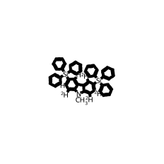 [2H]c1c([Si](c2ccccc2)(c2ccccc2)c2ccccc2)c([2H])c2c3c([2H])c([Si](c4ccccc4)(c4ccccc4)c4ccccc4)c([2H])c([2H])c3n(C)c2c1[2H]